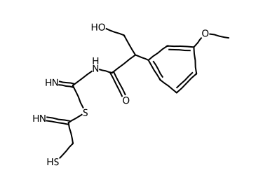 COc1cccc(C(CO)C(=O)NC(=N)SC(=N)CS)c1